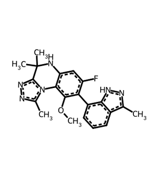 COc1c(-c2cccc3c(C)n[nH]c23)c(F)cc2c1-n1c(C)nnc1C(C)(C)N2